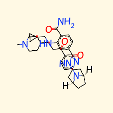 CN1CCC(CCC(=O)c2ccc(N3[C@@H]4CC[C@H]3C[C@@H](NC(=O)c3ccc(C(N)=O)c(NCC5CC5)c3)C4)nc2)CC1